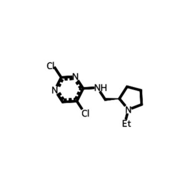 CCN1CCC[C@@H]1CNc1nc(Cl)ncc1Cl